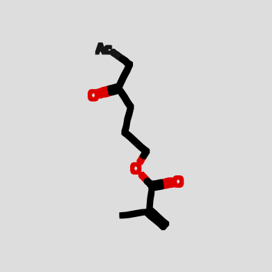 C=C(C)C(=O)OCCCC(=O)CC(C)=O